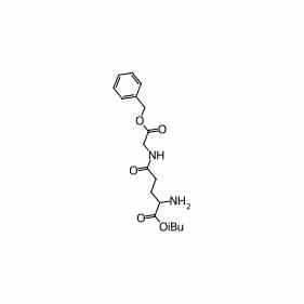 CC(C)COC(=O)C(N)CCC(=O)NCC(=O)OCc1ccccc1